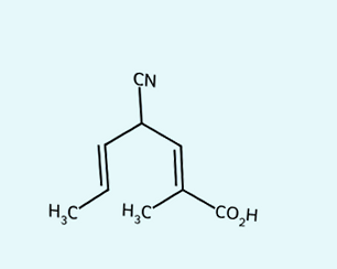 CC=CC(C#N)C=C(C)C(=O)O